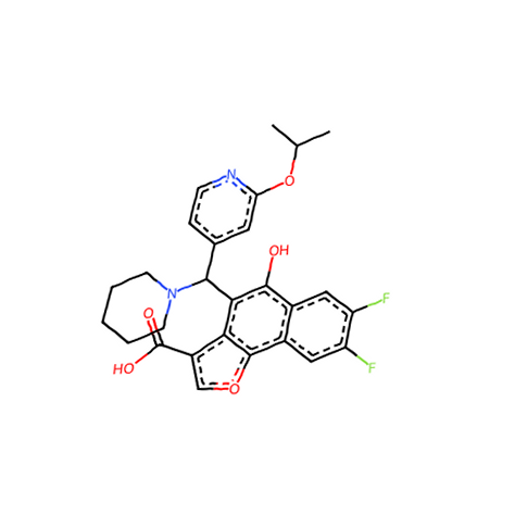 CC(C)Oc1cc(C(c2c(O)c3cc(F)c(F)cc3c3occ(C(=O)O)c23)N2CCCCC2)ccn1